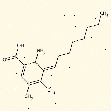 CCCCCCCC=C1C(C)=C(C)C=C(C(=O)O)C1N